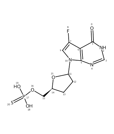 O=c1[nH]cnc2c1c(F)cn2C1CC[C@@H](COP(O)(O)=S)O1